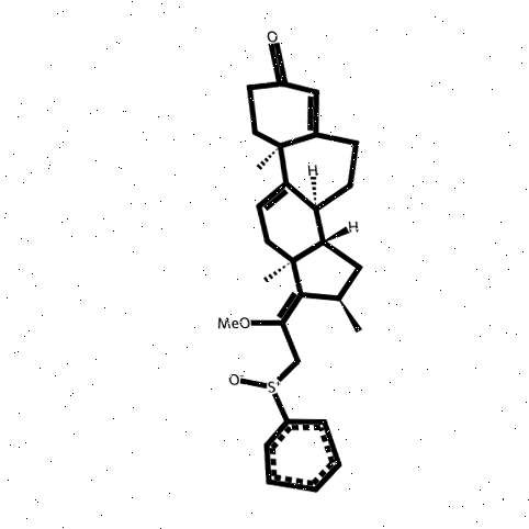 CO/C(C[S+]([O-])c1ccccc1)=C1/[C@H](C)C[C@H]2[C@@H]3CCC4=CC(=O)CC[C@]4(C)C3=CC[C@]12C